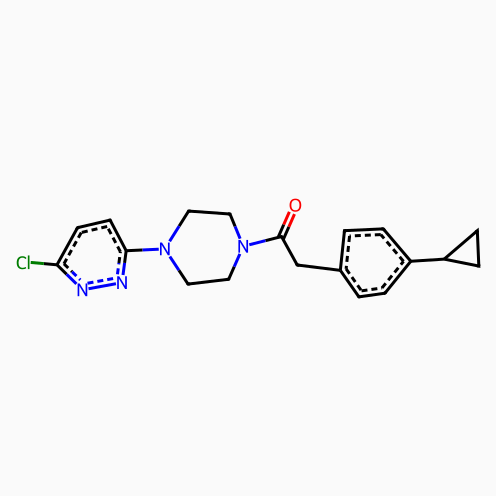 O=C(Cc1ccc(C2CC2)cc1)N1CCN(c2ccc(Cl)nn2)CC1